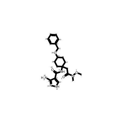 CON(C)C(=O)CC1(NC(=O)c2c[nH]nc2N)CCC(OCc2ccccc2)CC1